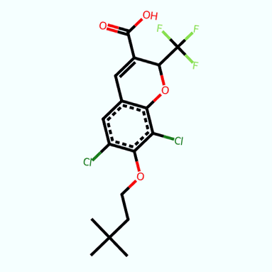 CC(C)(C)CCOc1c(Cl)cc2c(c1Cl)OC(C(F)(F)F)C(C(=O)O)=C2